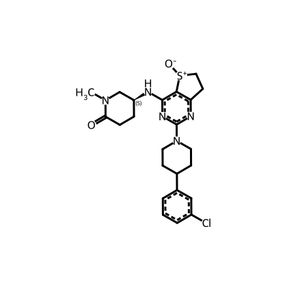 CN1C[C@@H](Nc2nc(N3CCC(c4cccc(Cl)c4)CC3)nc3c2[S+]([O-])CC3)CCC1=O